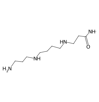 [NH]C(=O)CCNCCCCNCCCN